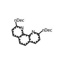 CCCCCCCCCCc1ccc2ccc3ccc(CCCCCCCCCC)nc3c2n1